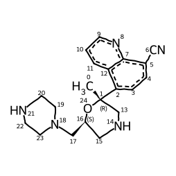 C[C@@]1(c2ccc(C#N)c3ncccc23)CNC[C@@H](CN2CCNCC2)O1